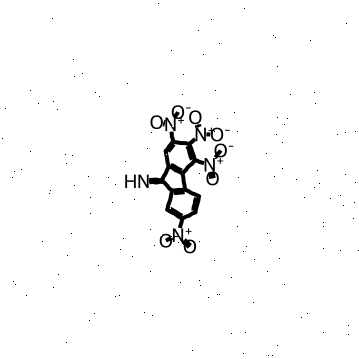 N=C1c2cc([N+](=O)[O-])ccc2-c2c1cc([N+](=O)[O-])c([N+](=O)[O-])c2[N+](=O)[O-]